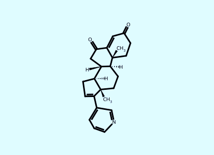 C[C@]12CCC(=O)C=C1C(=O)C[C@@H]1[C@@H]2CC[C@]2(C)C(c3cccnc3)=CC[C@@H]12